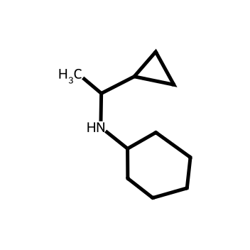 CC(NC1CCCCC1)C1CC1